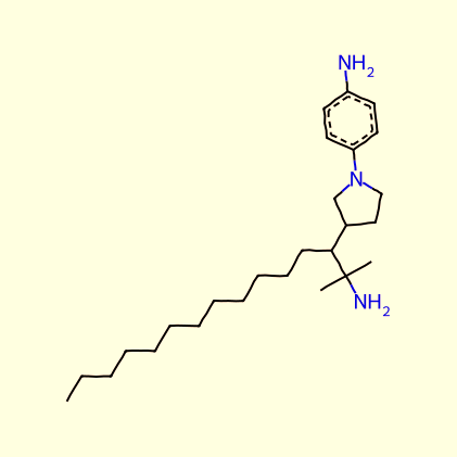 CCCCCCCCCCCCC(C1CCN(c2ccc(N)cc2)C1)C(C)(C)N